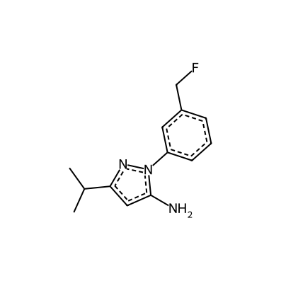 CC(C)c1cc(N)n(-c2cccc(CF)c2)n1